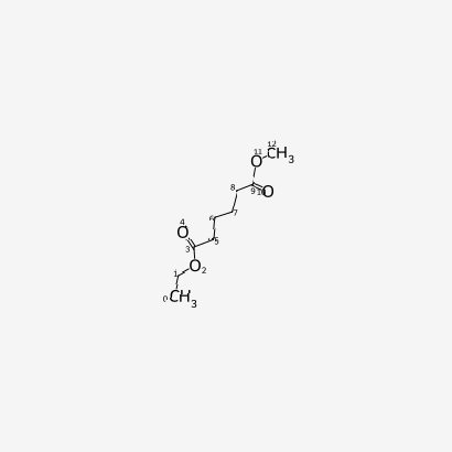 CCOC(=O)[CH]CCCC(=O)OC